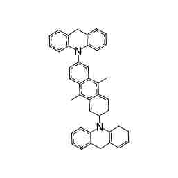 Cc1c2c(c(C)c3cc(N4c5ccccc5Cc5ccccc54)ccc13)=CCC(N1C3=C(C=CCC3)Cc3ccccc31)C=2